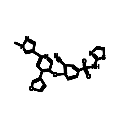 Cn1cc(-c2cc(-c3ccoc3)c(Oc3ccc(S(=O)(=O)Nc4nccs4)cc3C#N)cn2)cn1